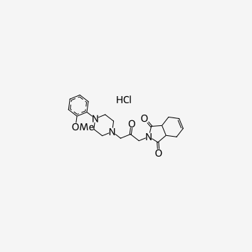 COc1ccccc1N1CCN(CC(=O)CN2C(=O)C3CC=CCC3C2=O)CC1.Cl